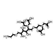 NCCOCC(N)C(O)C(O)C(COCCN(CC(=O)O)CC(=O)O)N(CC(=O)O)CC(=O)O